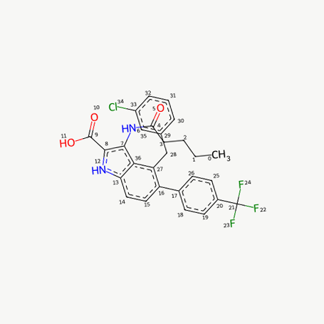 CCCCC(=O)Nc1c(C(=O)O)[nH]c2ccc(-c3ccc(C(F)(F)F)cc3)c(Cc3cccc(Cl)c3)c12